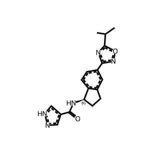 CC(C)c1nc(-c2ccc3c(c2)CC[C@H]3NC(=O)c2cn[nH]c2)no1